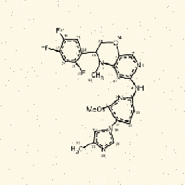 COc1nc(Nc2ncc3c(n2)N(C)C(c2cc(F)c(F)cc2F)CO3)ccc1-n1cnc(C)c1